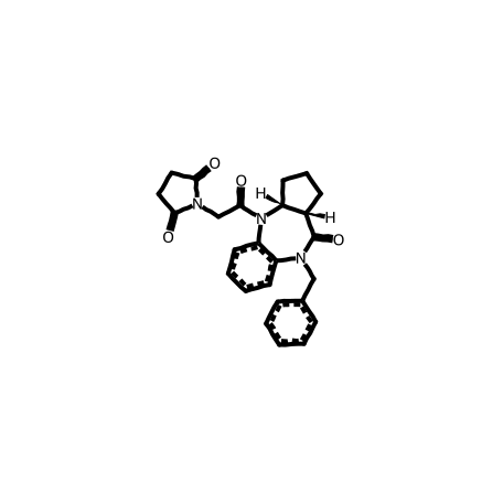 O=C1CCC(=O)N1CC(=O)N1c2ccccc2N(Cc2ccccc2)C(=O)[C@H]2CCC[C@H]21